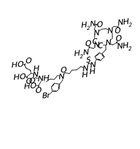 NC(=O)CN1CCN(CC(N)=O)CCN(CC(N)=O)C(Cc2ccc(NC(=S)NCCCCC(=O)N(CCCC[C@@H](NC(=O)N[C@H](CCC(=O)O)C(=O)O)C(=O)O)Cc3ccc(Br)cc3)cc2)CN(CC(N)=O)CC1